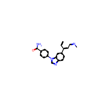 C=C/C(=C\C=N/C)c1ccc2ncn(-c3ccc(C(N)=O)cc3)c2c1